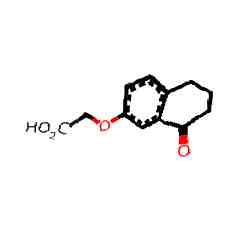 O=C(O)COc1ccc2c(c1)C(=O)CCC2